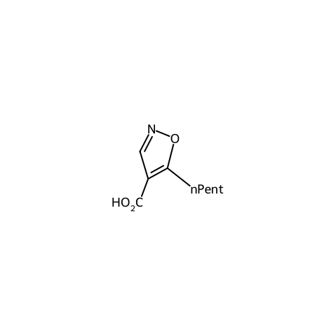 CCCCCc1oncc1C(=O)O